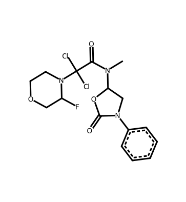 CN(C(=O)C(Cl)(Cl)N1CCOCC1F)C1CN(c2ccccc2)C(=O)O1